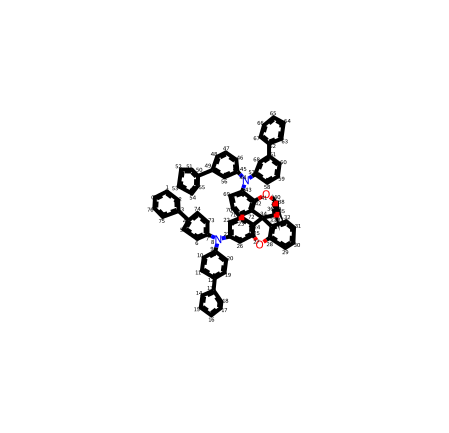 c1ccc(-c2ccc(N(c3ccc(-c4ccccc4)cc3)c3ccc4c(c3)Oc3ccccc3C43c4ccccc4Oc4c(N(c5cccc(-c6ccccc6)c5)c5cccc(-c6ccccc6)c5)cccc43)cc2)cc1